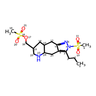 CCCc1c2c(nn1S(C)(=O)=O)CC1CC(COS(C)(=O)=O)CNC1C2